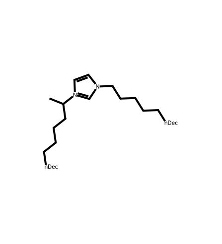 CCCCCCCCCCCCCCCn1cc[n+](C(C)CCCCCCCCCCCCCC)c1